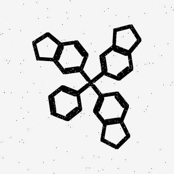 c1ccc([B-](c2ccc3c(c2)CCC3)(c2ccc3c(c2)CCC3)c2ccc3c(c2)CCC3)cc1